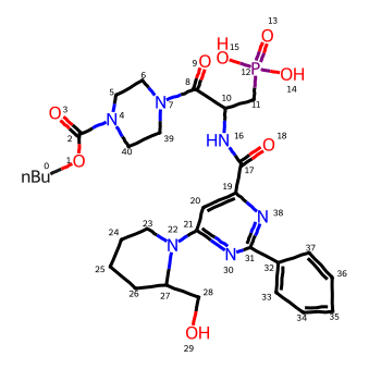 CCCCOC(=O)N1CCN(C(=O)C(CP(=O)(O)O)NC(=O)c2cc(N3CCCCC3CO)nc(-c3ccccc3)n2)CC1